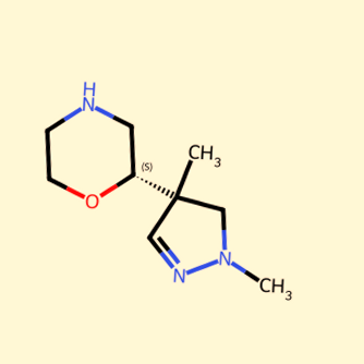 CN1CC(C)([C@H]2CNCCO2)C=N1